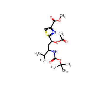 COC(=O)c1csc(C(CC(NC(=O)OC(C)(C)C)C(C)C)OC(C)=O)n1